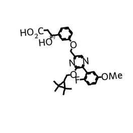 COc1ccc(F)c(-c2ncc(COc3cccc([C@H](O)CC(=O)O)c3)nc2OCC2C(C)(C)C2(C)C)c1